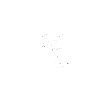 C#CC[C@@H]1C=CC[C@@H](C[C@@H](C)CC(=C)CC(/C=C/C[C@H](OCc2ccc(OC)cc2)[C@H](/C=C/[C@@H]2CC(C)=CCO2)O[Si](C)(C)C(C)(C)C)O[Si](C)(C)C(C)(C)C)O1